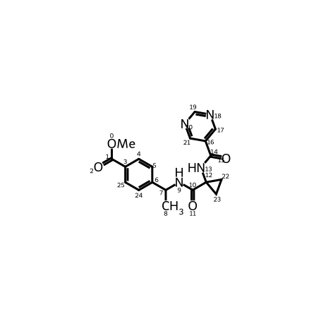 COC(=O)c1ccc(C(C)NC(=O)C2(NC(=O)c3cncnc3)CC2)cc1